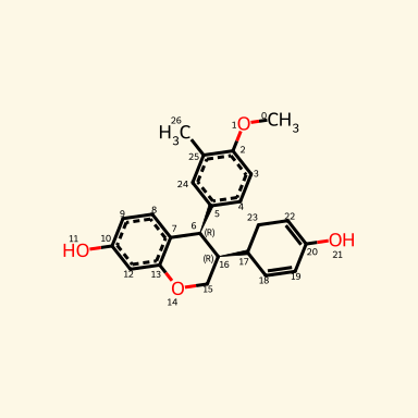 COc1ccc([C@@H]2c3ccc(O)cc3OC[C@@H]2C2C=CC(O)=CC2)cc1C